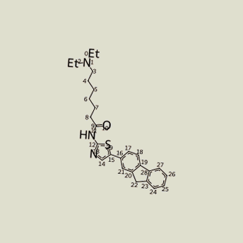 CCN(CC)CCCCCCC(=O)Nc1ncc(-c2ccc3c(c2)Cc2ccccc2-3)s1